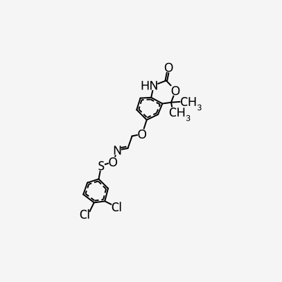 CC1(C)OC(=O)Nc2ccc(OCC=NOSc3ccc(Cl)c(Cl)c3)cc21